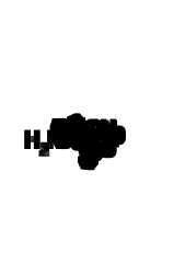 C[C@H](CC(N)=O)OCCOc1ccccc1/C=C/C(=O)N[C@H](C(=O)N1CCC[C@H]1C(=O)N1CCC[C@H]1C(N)=O)[C@@H](C)O